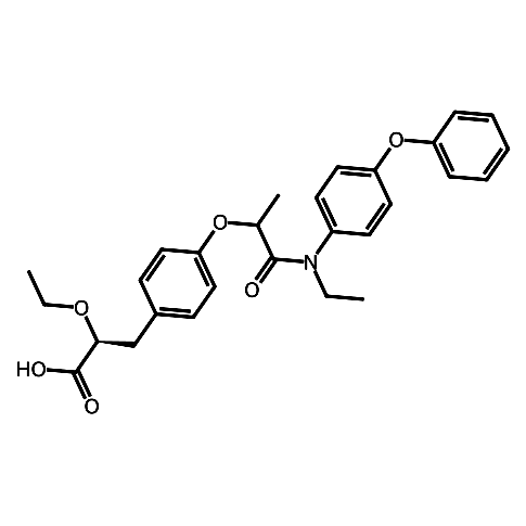 CCO[C@@H](Cc1ccc(OC(C)C(=O)N(CC)c2ccc(Oc3ccccc3)cc2)cc1)C(=O)O